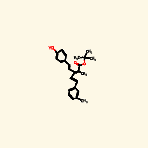 CC(C(=O)OC(C)(C)C)=C(C=Cc1ccc(O)cc1)C=Cc1cccc(C)c1